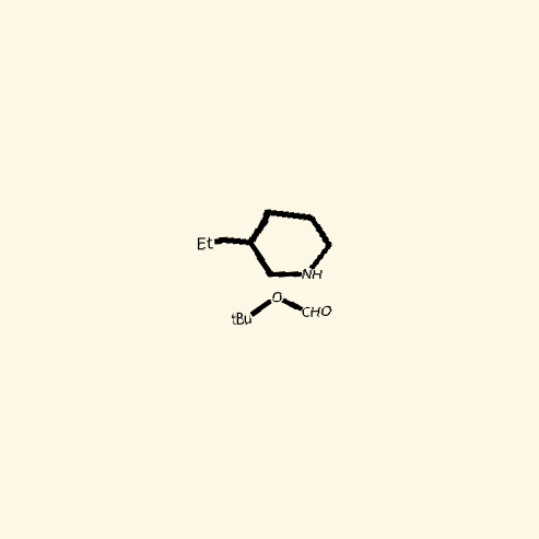 CC(C)(C)OC=O.CCC1CCCNC1